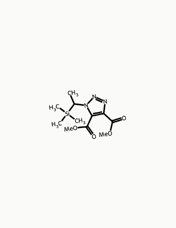 COC(=O)c1nnn(C(C)[Si](C)(C)C)c1C(=O)OC